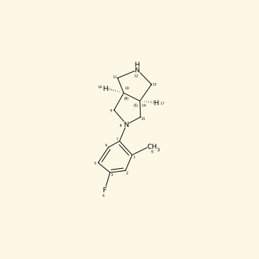 Cc1cc(F)ccc1N1C[C@H]2CNC[C@H]2C1